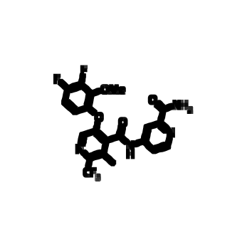 COc1c(Oc2cnc(C(F)(F)F)c(C)c2C(=O)Nc2ccnc(C(N)=O)c2)ccc(F)c1F